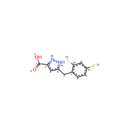 O=C(O)c1cc(Cc2ccc(F)cc2F)[nH]n1